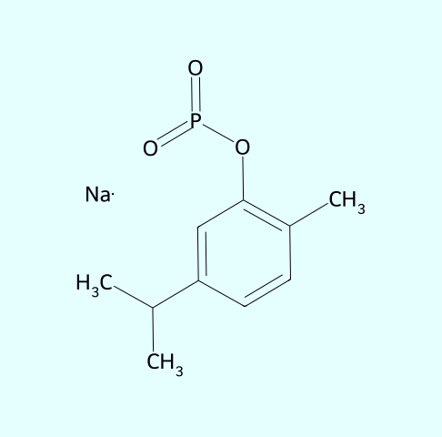 Cc1ccc(C(C)C)cc1OP(=O)=O.[Na]